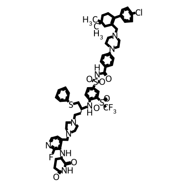 CC1(C)CCC(c2ccc(Cl)cc2)=C(CN2CCN(c3ccc(C(=O)NS(=O)(=O)c4ccc(N[C@H](CCN5CCN(Cc6ccnc(F)c6NC6CCC(=O)NC6=O)CC5)CSc5ccccc5)c(S(=O)(=O)C(F)(F)F)c4)cc3)CC2)C1